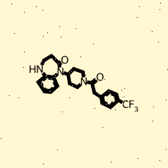 O=C(Cc1ccc(C(F)(F)F)cc1)N1CCC(N2C(=O)CCNc3ccccc32)CC1